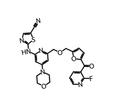 N#Cc1cnc(Nc2cc(N3CCOCC3)cc(COCc3ccc(C(=O)c4cccnc4F)o3)n2)s1